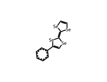 C1=C[Se]C(=C2[Se]C=C(c3ccccc3)[Se]2)[Se]1